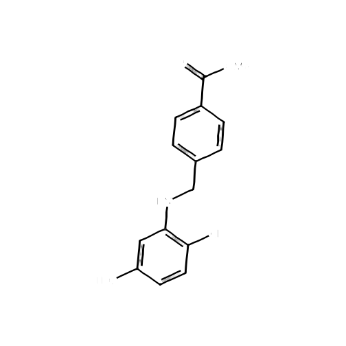 COC(=O)c1ccc(CNc2cc(C)ccc2Cl)cc1